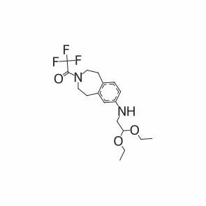 CCOC(CNc1ccc2c(c1)CCN(C(=O)C(F)(F)F)CC2)OCC